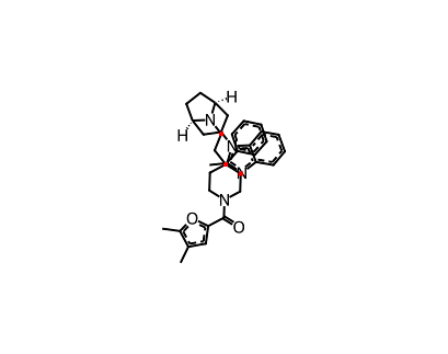 Cc1cc(C(=O)N2CCC(CCN3[C@@H]4CC[C@H]3CC(n3c(C)nc5ccccc53)C4)(c3ccccc3)CC2)oc1C